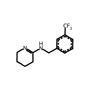 FC(F)(F)c1cccc(CNC2=NCCCC2)c1